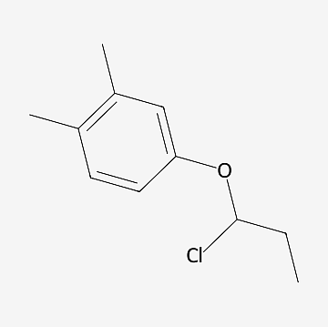 CCC(Cl)Oc1ccc(C)c(C)c1